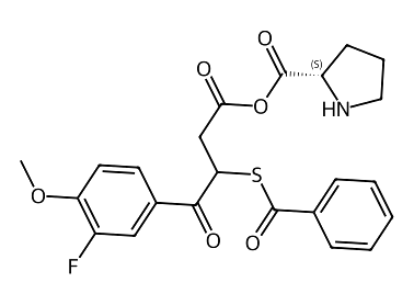 COc1ccc(C(=O)C(CC(=O)OC(=O)[C@@H]2CCCN2)SC(=O)c2ccccc2)cc1F